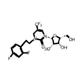 O=C1N(CCc2ccc(F)cc2F)CC(C(F)(F)F)=CN1[C@@H]1O[C@H](CO)[C@H](O)[C@@H]1O